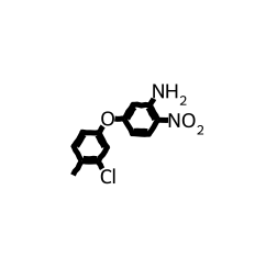 Cc1ccc(Oc2ccc([N+](=O)[O-])c(N)c2)cc1Cl